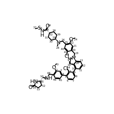 COc1cc(-c2cccc(-c3cccc4c3cnn4Cc3cc(OC)c(CN(C)[C@H]4CC[C@H](C(=O)NSC)CC4)cc3Cl)c2Cl)ccc1CNC[C@@H]1CCC(=O)N1